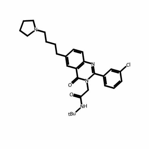 CC(C)(C)NC(=O)Cn1c(-c2cccc(Cl)c2)nc2ccc(CCCCN3CCCC3)cc2c1=O